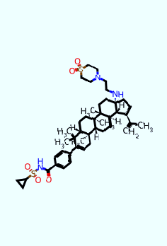 C=C(C)[C@@H]1CC[C@]2(NCCN3CCS(=O)(=O)CC3)CC[C@]3(C)[C@H](CC[C@@H]4[C@@]5(C)CC=C(c6ccc(C(=O)NS(=O)(=O)C7CC7)cc6)C(C)(C)[C@@H]5CC[C@]43C)[C@@H]12